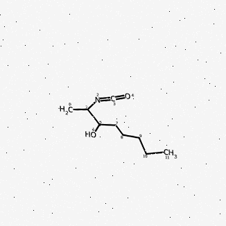 [CH2]C(N=C=O)C(O)CCCCC